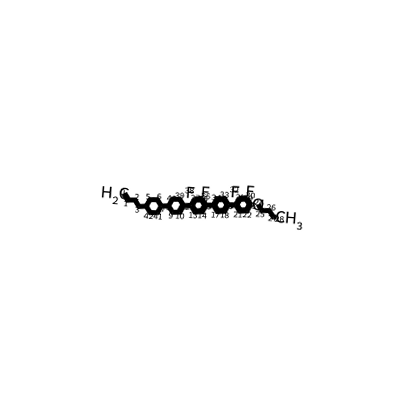 C=CCCC1CCC(C2CC=C(c3ccc(-c4ccc(-c5ccc(OCCCC)c(F)c5F)cc4)c(F)c3F)CC2)CC1